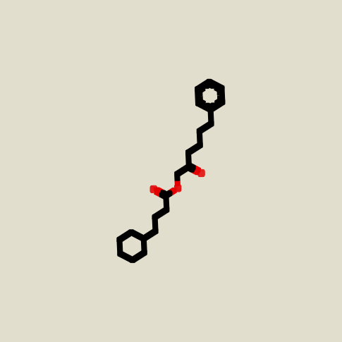 O=C(CCCCc1ccccc1)COC(=O)CCCC1CCCCC1